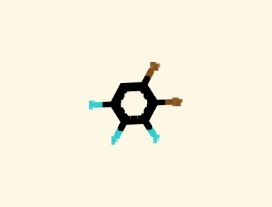 Fc1cc(Br)c(Br)c(F)c1F